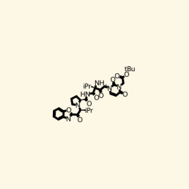 CC(C)[C@@H](C(=O)c1nc2ccccc2o1)N1CCC[C@H]1C(=O)NC(=O)[C@](N)(C(=O)Cn1ccc(=O)n(CC(=O)OC(C)(C)C)c1=O)C(C)C